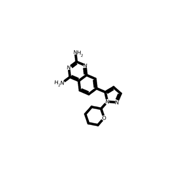 Nc1nc(N)c2ccc(-c3ccnn3C3CCCCO3)cc2n1